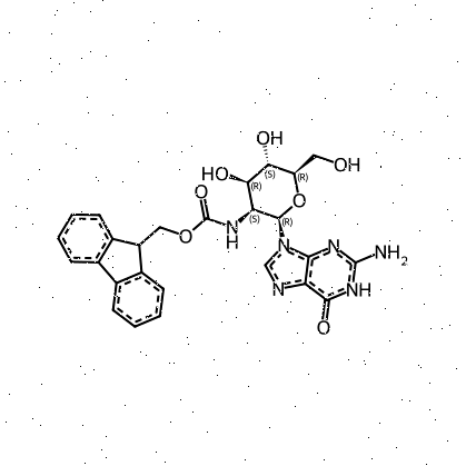 Nc1nc2c(ncn2[C@@H]2O[C@H](CO)[C@@H](O)[C@H](O)[C@@H]2NC(=O)OCC2c3ccccc3-c3ccccc32)c(=O)[nH]1